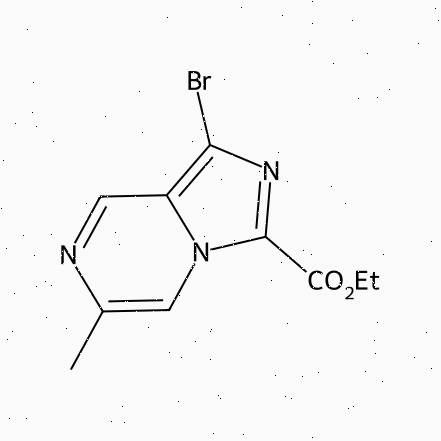 CCOC(=O)c1nc(Br)c2cnc(C)cn12